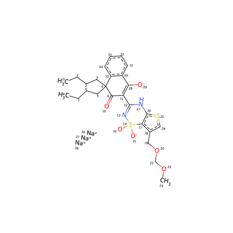 CCCCC1(CCCC)C(=O)C(C2=NS([O-])([O-])c3c(COCOC)csc3N2)=C([O-])c2ccccc21.[Na+].[Na+].[Na+]